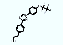 OCCc1ccc(-c2ncn(-c3ccc(OC(F)(F)C(F)(F)F)cc3)n2)cc1